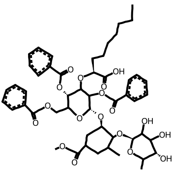 CCCCCCC[C@H](OC1C(OC(=O)c2ccccc2)[C@H](O[C@@H]2CC(C(=O)OC)CC(C)C2O[C@@H]2OC(C)[C@@H](O)C(O)C2O)OC(COC(=O)c2ccccc2)[C@@H]1OC(=O)c1ccccc1)C(=O)O